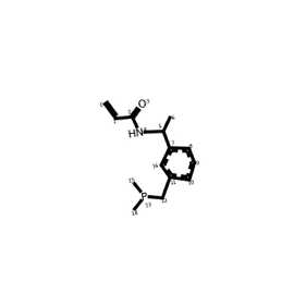 C=CC(=O)NC(C)c1cccc(CP(C)C)c1